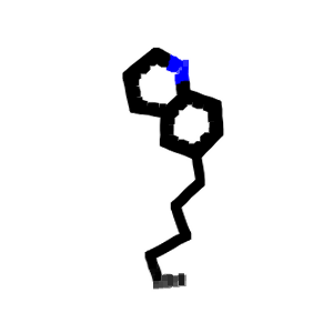 CCCCCCCCCCCCc1ccc2ncccc2c1